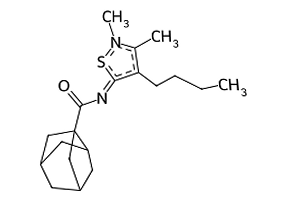 CCCCc1c(C)n(C)sc1=NC(=O)C12CC3CC(CC1C3)C2